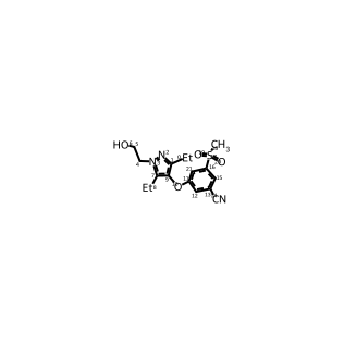 CCc1nn(CCO)c(CC)c1Oc1cc(C#N)cc(S(C)(=O)=O)c1